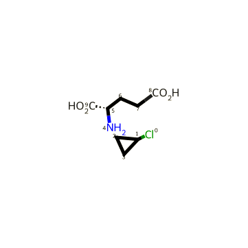 ClC1CC1.N[C@@H](CCC(=O)O)C(=O)O